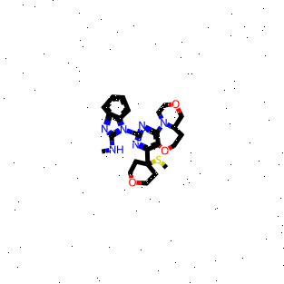 CNc1nc2ccccc2n1-c1nc2c(c(C3(SC)CCOCC3)n1)OCCC1COCCN21